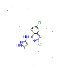 Cc1cc(Nc2nc(Cl)nc3cc(Cl)ccc23)n[nH]1